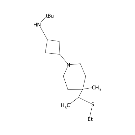 CCSC(C)C1(C)CCN(C2CC(NC(C)(C)C)C2)CC1